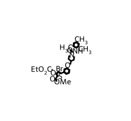 CCOC(=O)COc1c(C(=O)OC)sc(-c2cccc(OCC3CCN(C(=O)Nc4c(C)cc(C)cc4C)CC3)c2)c1Br